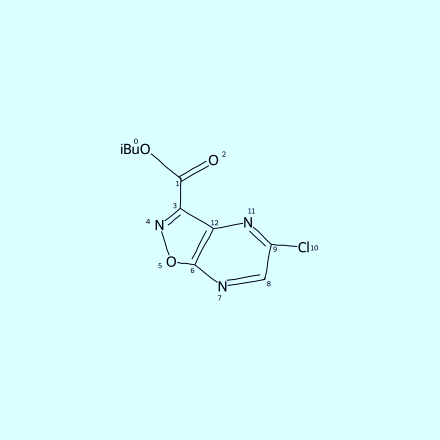 CC(C)COC(=O)c1noc2ncc(Cl)nc12